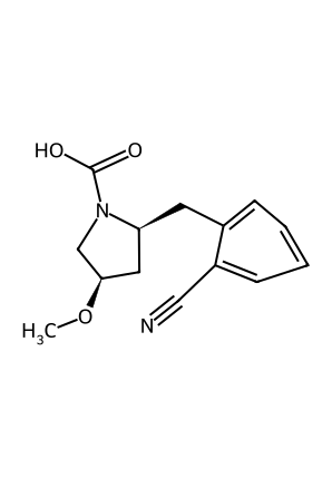 CO[C@@H]1C[C@H](Cc2ccccc2C#N)N(C(=O)O)C1